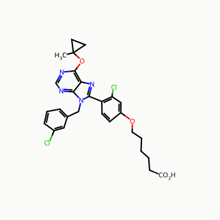 CC1(Oc2ncnc3c2nc(-c2ccc(OCCCCCC(=O)O)cc2Cl)n3Cc2cccc(Cl)c2)CC1